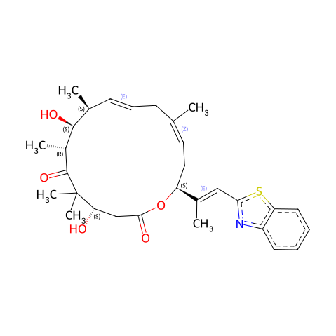 C/C1=C/C[C@@H](/C(C)=C/c2nc3ccccc3s2)OC(=O)C[C@H](O)C(C)(C)C(=O)[C@H](C)[C@@H](O)[C@@H](C)/C=C/C1